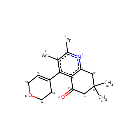 CC(=O)c1c(C(C)C)nc2c(c1C1=CCOCC1)C(=O)CC(C)(C)C2